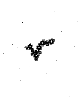 COc1cccc(C=NNC(=O)c2cc(Br)ccc2NC(=O)c2ccc(CN3CCN(CC(=O)N4CCOCC4)CC3)cc2)c1